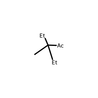 CCC(C)(CC)C(C)=O